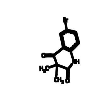 CC1(C)C(=O)Nc2ccc(Br)cc2C1=O